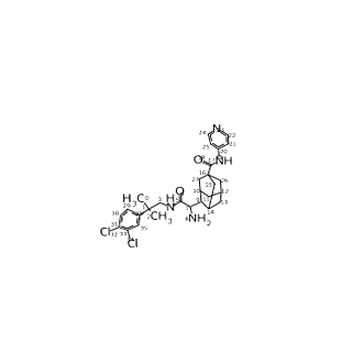 CC(C)(CNC(=O)C(N)C1C2CC3CC1CC(C(=O)Nc1ccncc1)(C3)C2)c1ccc(Cl)c(Cl)c1